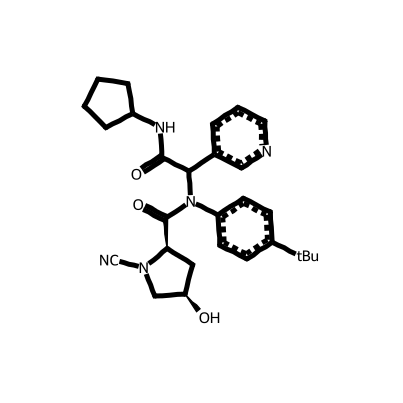 CC(C)(C)c1ccc(N(C(=O)[C@H]2C[C@@H](O)CN2C#N)C(C(=O)NC2CCCC2)c2cccnc2)cc1